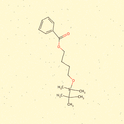 CC(C)(C)[Si](C)(C)OCCCCOC(=O)c1ccccc1